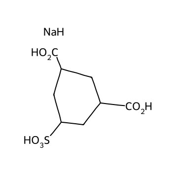 O=C(O)C1CC(C(=O)O)CC(S(=O)(=O)O)C1.[NaH]